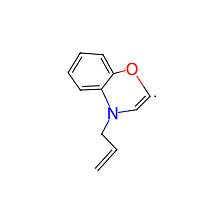 C=CCN1C=[C]Oc2ccccc21